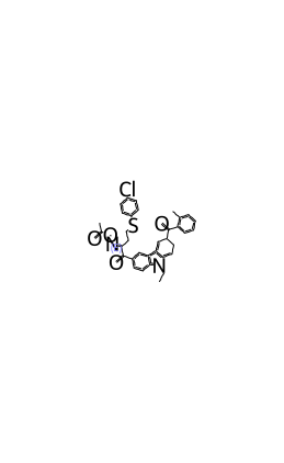 CCn1c2c(c3cc(C(=O)/C(CCSc4ccc(Cl)cc4)=N/OC(C)=O)ccc31)=CC(C(=O)c1ccccc1C)CC=2